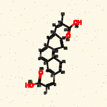 CC(=Cc1[c]c2ccc3cc(C=C(C)C(=O)O)ccc3c2cc1)C(=O)O